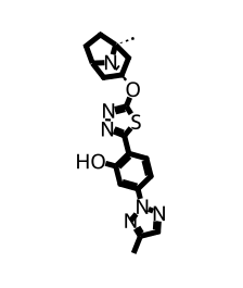 Cc1cnn(-c2ccc(-c3nnc(O[C@@H]4CC5CC[C@@](C)(C4)N5C)s3)c(O)c2)n1